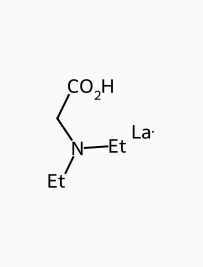 CCN(CC)CC(=O)O.[La]